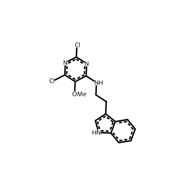 COc1c(Cl)nc(Cl)nc1NCCc1c[nH]c2ccccc12